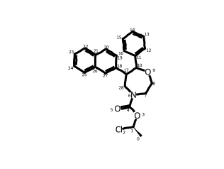 C[C@@H](Cl)OC(=O)N1CCOC(c2ccccc2)C(c2ccc3ccccc3c2)C1